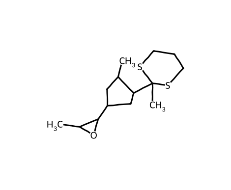 CC1CC(C2OC2C)CC1C1(C)SCCCS1